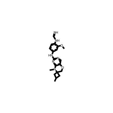 COc1cc(Nc2ncc3c(n2)N(C)C2(CO3)CC(C)C2)ccc1NC=N